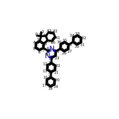 CC1(C)c2cccc(-c3nc(-c4ccc(-c5ccccc5)cc4)cc(-c4ccc(-c5ccccc5)cc4)n3)c2C2C=CC=CC21